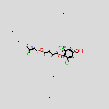 C/C(Cl)=C/COCCCCOc1c(Cl)cc(O)cc1Cl